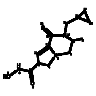 CC1CN2CC(C(=O)NO)C=C2C(=O)N1CC1CC1